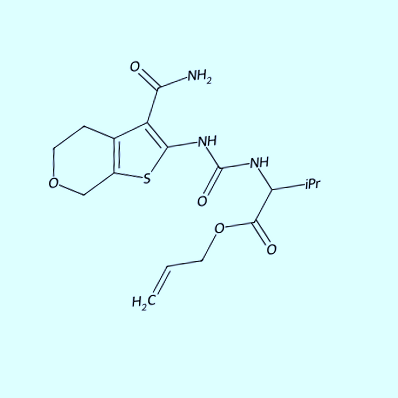 C=CCOC(=O)C(NC(=O)Nc1sc2c(c1C(N)=O)CCOC2)C(C)C